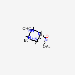 CCC1=C(C)c2cc3[nH]c(cc4nc(c(C)c5cc(C)c(cc1n2)[nH]5)[C@@H](CCC(=O)N(C)CCCOC(C)=O)[C@@H]4C)c(C)c3C=O